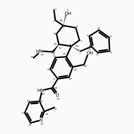 CC[C@@]1(O)CC[C@@](Cc2ccccc2)(c2ccc(C(=O)Nc3cccnc3C)cc2CO)[C@@H](CNC)C1